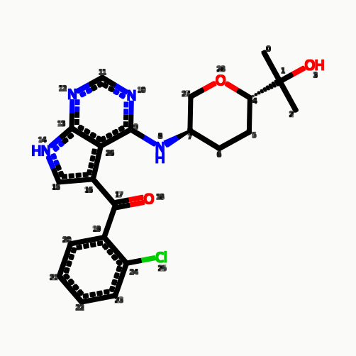 CC(C)(O)[C@@H]1CC[C@@H](Nc2ncnc3[nH]cc(C(=O)c4ccccc4Cl)c23)CO1